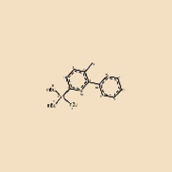 CCC[CH2][Sn]([CH2]CCC)([CH2]CCC)[c]1ccc(C)c(-c2ccccc2)n1